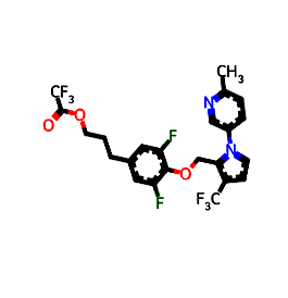 Cc1ccc(-n2ccc(C(F)(F)F)c2COc2c(F)cc(CCCOC(=O)C(F)(F)F)cc2F)cn1